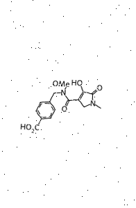 CON(Cc1ccc(C(=O)O)cc1)C(=O)C1=C(O)C(=O)N(C)C1